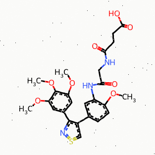 COc1ccc(-c2csnc2-c2cc(OC)c(OC)c(OC)c2)cc1NC(=O)CNC(=O)CCC(=O)O